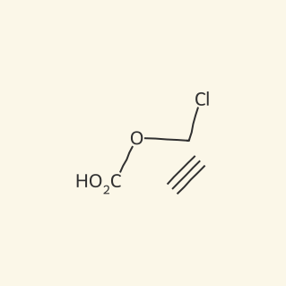 C#C.O=C(O)OCCl